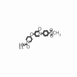 CCNC(=O)N1CCC(Oc2ccn(-c3ccc(S(C)(=O)=O)cc3)c(=O)c2)CC1